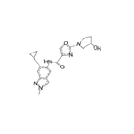 Cn1cc2cc(NC(=O)c3coc(N4CCC(O)C4)n3)c(C3CC3)cc2n1